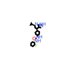 O=C(Nc1ccc(-c2cc(C3CC3)nc3[nH]ncc23)cc1)Nc1ccccc1F